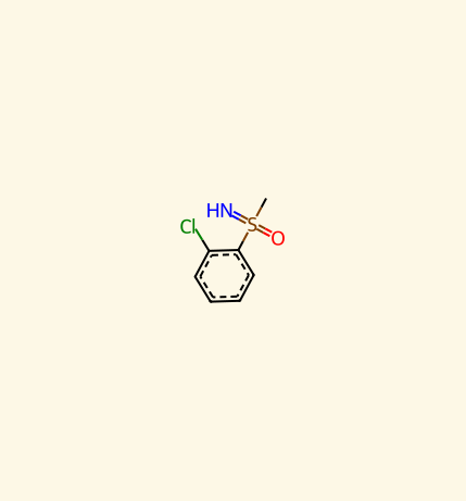 CS(=N)(=O)c1ccccc1Cl